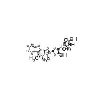 CN(c1ncnc2c1ccn2[C@@H]1C[C@@H](COS(=O)(=O)NC(=O)O)[C@H](O)C1)[C@H]1CCc2ccccc21